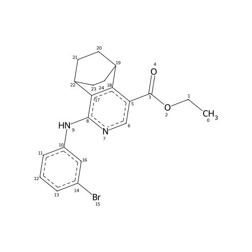 CCOC(=O)c1cnc(Nc2cccc(Br)c2)c2c1C1CCC2CC1